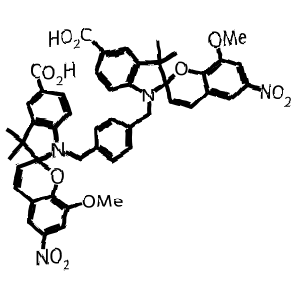 COc1cc([N+](=O)[O-])cc2c1OC1(C=C2)N(Cc2ccc(CN3c4ccc(C(=O)O)cc4C(C)(C)C34C=Cc3cc([N+](=O)[O-])cc(OC)c3O4)cc2)c2ccc(C(=O)O)cc2C1(C)C